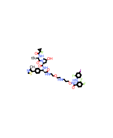 Cc1ncsc1-c1ccc([C@H](CC(=O)NCCOCCNCCCONC(=O)c2ccc(F)c(F)c2Nc2ccc(I)cc2F)NC(=O)[C@@H]2C[C@@H](O)CN2C(=O)C(NC(=O)C2(F)CC2)C(C)(C)C)cc1